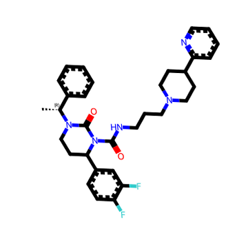 C[C@H](c1ccccc1)N1CCC(c2ccc(F)c(F)c2)N(C(=O)NCCCN2CCC(c3ccccn3)CC2)C1=O